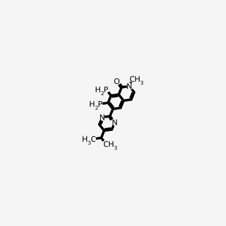 CC(C)c1cnc(-c2cc3ccn(C)c(=O)c3c(P)c2P)nc1